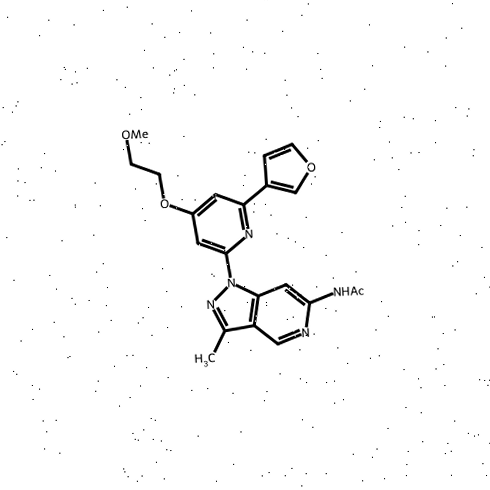 COCCOc1cc(-c2ccoc2)nc(-n2nc(C)c3cnc(NC(C)=O)cc32)c1